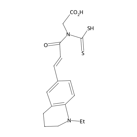 CCN1CCCc2cc(/C=C/C(=O)N(CC(=O)O)C(=S)S)ccc21